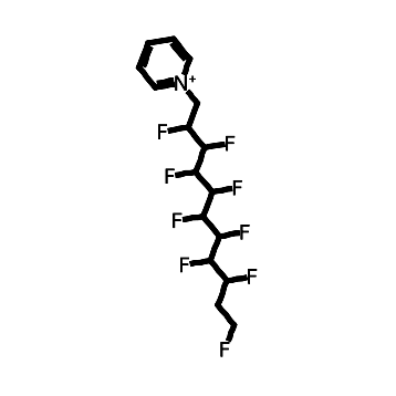 FCCC(F)C(F)C(F)C(F)C(F)C(F)C(F)C(F)C[n+]1ccccc1